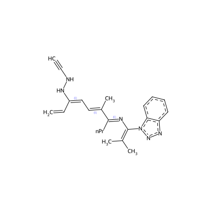 C#CNN/C(C=C)=C/C=C(C)/C(CCC)=N/C(=C(C)C)n1nnc2ccccc21